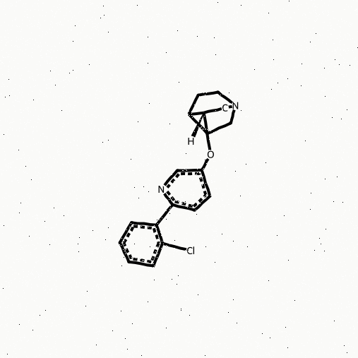 Clc1ccccc1-c1ccc(O[C@H]2CN3CCC2CC3)cn1